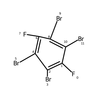 Fc1c(Br)c(Br)c(F)c(Br)c1Br